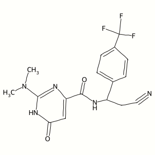 CN(C)c1nc(C(=O)NC(CC#N)c2ccc(C(F)(F)F)cc2)cc(=O)[nH]1